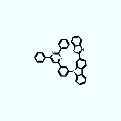 c1ccc(-c2cc(-c3cccc(-n4c5ccccc5c5ccc(-c6nc7ccccc7s6)cc54)c3)nc(-c3ccccc3)n2)cc1